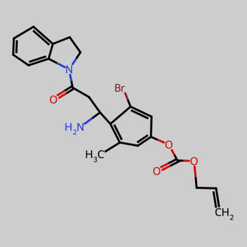 C=CCOC(=O)Oc1cc(C)c(C(N)CC(=O)N2CCc3ccccc32)c(Br)c1